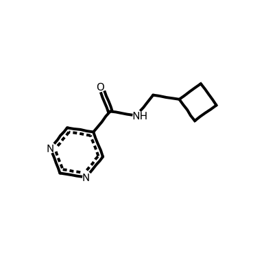 O=C(NCC1CCC1)c1cncnc1